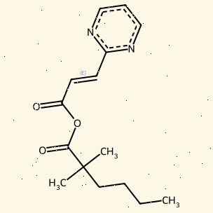 CCCCC(C)(C)C(=O)OC(=O)/C=C/c1ncccn1